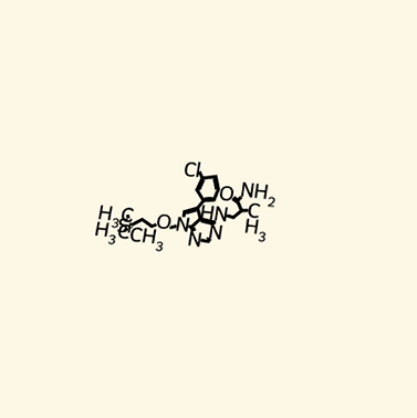 CC(CNc1ncnc2c1c(-c1cccc(Cl)c1)cn2COCC[Si](C)(C)C)C(N)=O